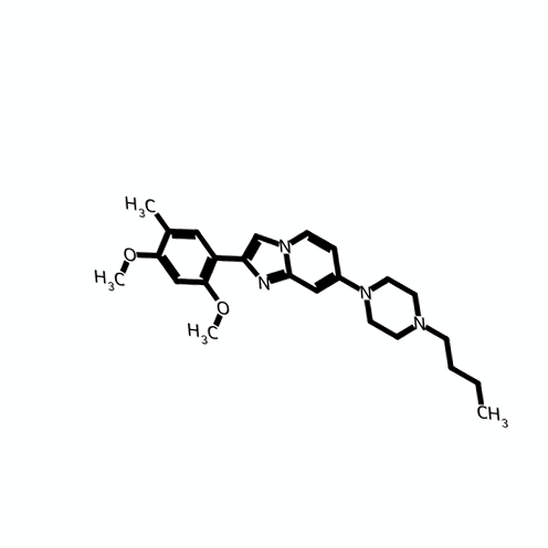 CCCCN1CCN(c2ccn3cc(-c4cc(C)c(OC)cc4OC)nc3c2)CC1